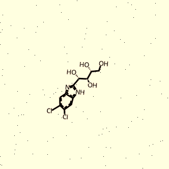 OC[C@@H](O)[C@@H](O)[C@@H](O)c1nc2cc(Cl)c(Cl)cc2[nH]1